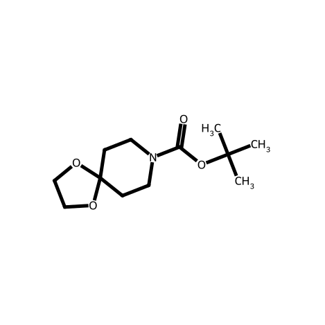 CC(C)(C)OC(=O)N1CCC2(CC1)OCCO2